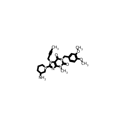 CC#CCn1c(N2CCCC(N)C2)nc2c1c(=O)n(Cc1ccc(OC)c(OC)c1)c(=O)n2C